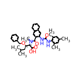 Cc1cc(C)c(NC(=O)Nc2cc3ccccc3cc2C(=O)N(C)[C@H](C(=O)O)[C@@H](CC(C)C)OCc2ccccc2)c(C)c1